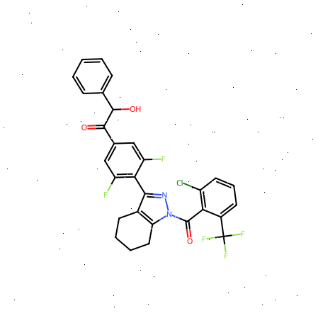 O=C(c1cc(F)c(-c2nn(C(=O)c3c(Cl)cccc3C(F)(F)F)c3c2CCCC3)c(F)c1)C(O)c1ccccc1